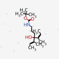 C/C=C(/C)C(O)(CCCNC(=O)OC(C)(C)C)/C(C)=C/C